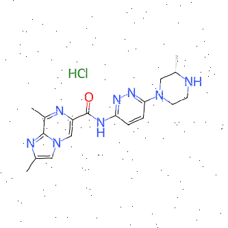 Cc1cn2cc(C(=O)Nc3ccc(N4CCN[C@@H](C)C4)nn3)nc(C)c2n1.Cl